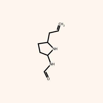 C=CCC1CCC(NC=O)N1